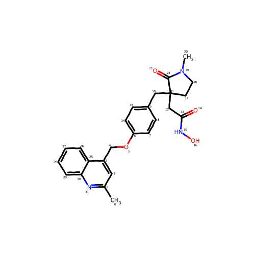 Cc1cc(COc2ccc(CC3(CC(=O)NO)CCN(C)C3=O)cc2)c2ccccc2n1